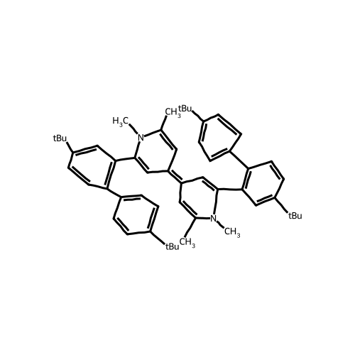 CC1=C/C(=C2/C=C(C)N(C)C(c3cc(C(C)(C)C)ccc3-c3ccc(C(C)(C)C)cc3)=C2)C=C(c2cc(C(C)(C)C)ccc2-c2ccc(C(C)(C)C)cc2)N1C